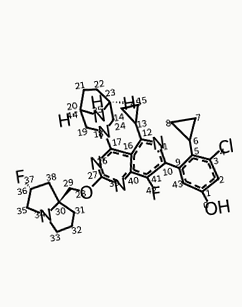 Oc1cc(Cl)c(C2CC2)c(-c2nc(C3CC3)c3c(N4C[C@H]5CC[C@@H](C4)N5)nc(OC[C@@]45CCCN4C[C@H](F)C5)nc3c2F)c1